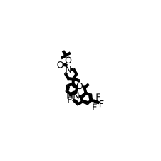 CC(OCC1(c2ccc(F)cc2)CCN(C(=O)OC(C)(C)C)CC1)c1cc(C(F)(F)F)cc2cc[nH]c12